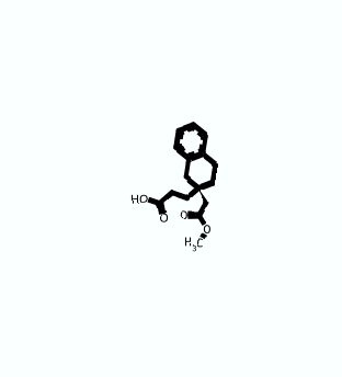 COC(=O)C[C@]1(CCC(=O)O)CCc2ccccc2C1